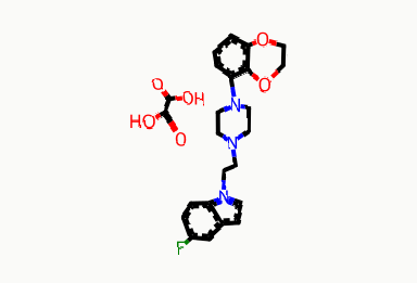 Fc1ccc2c(ccn2CCN2CCN(c3cccc4c3OCCO4)CC2)c1.O=C(O)C(=O)O